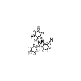 N#Cc1cccc2c(-c3ccc(F)cc3)n(Cc3ccc(F)cc3F)nc12